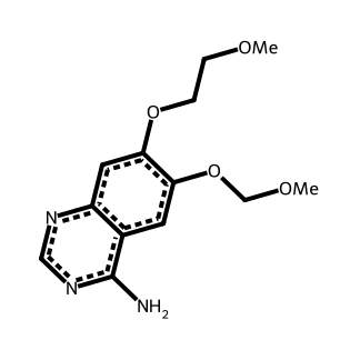 COCCOc1cc2ncnc(N)c2cc1OCOC